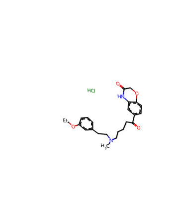 CCOc1cccc(CCN(C)CCCCC(=O)c2ccc3c(c2)NC(=O)CO3)c1.Cl